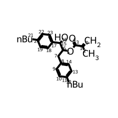 C=C(C)C(=O)OC(Cc1ccc(CCCC)cc1)C(O)c1ccc(CCCC)cc1